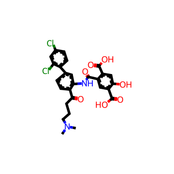 CN(C)CCCC(=O)c1ccc(-c2ccc(Cl)cc2Cl)cc1NC(=O)c1cc(C(=O)O)c(O)cc1C(=O)O